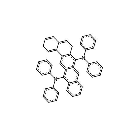 C1=CC2=CCc3c(cc4c(N(c5ccccc5)c5ccccc5)c5ccccc5cc4c3N(c3ccccc3)c3ccccc3)C2=CC1